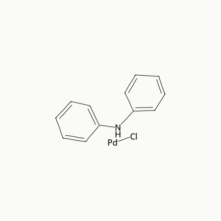 [Cl][Pd].c1ccc(Nc2ccccc2)cc1